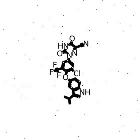 CC(C)c1c[nH]c2ccc(Oc3c(Cl)cc(-n4nc(C#N)c(=O)[nH]c4=O)cc3C(F)(F)F)cc12